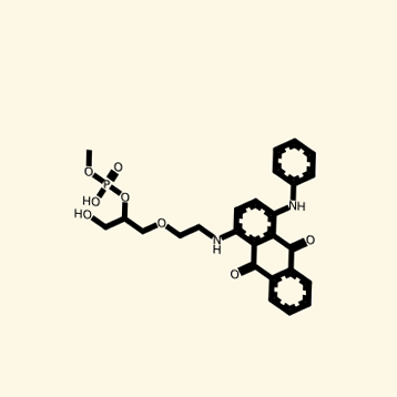 COP(=O)(O)OC(CO)COCCNc1ccc(Nc2ccccc2)c2c1C(=O)c1ccccc1C2=O